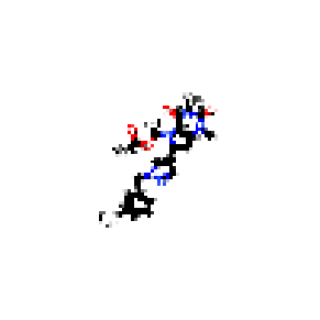 CCCC(=O)OC(CC)n1c(-c2cnn(Cc3cccc(C(F)(F)F)c3)c2)cc2c1c(=O)n(CCC)c(=O)n2CC